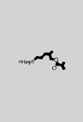 C=C(C)C(=O)OCC(C)CCCCCCCCCC